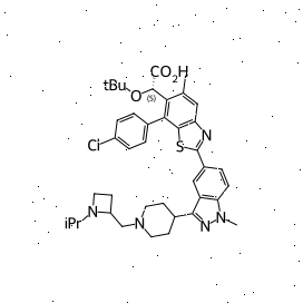 Cc1cc2nc(-c3ccc4c(c3)c(C3CCN(CC5CCN5C(C)C)CC3)nn4C)sc2c(-c2ccc(Cl)cc2)c1[C@H](OC(C)(C)C)C(=O)O